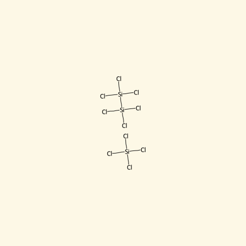 Cl[Si](Cl)(Cl)Cl.Cl[Si](Cl)(Cl)[Si](Cl)(Cl)Cl